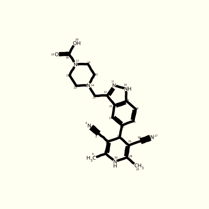 CC1=C(C#N)C(c2ccc3[nH]nc(CN4CCN(C(=O)O)CC4)c3c2)C(C#N)=C(C)N1